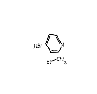 Br.CCC.c1ccncc1